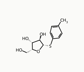 Cc1ccc(S[C@@H]2O[C@H](CO)[C@H](O)[C@H]2O)cc1